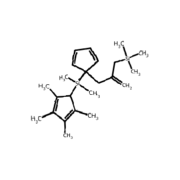 C=C(CC1([Si](C)(C)C2C(C)=C(C)C(C)=C2C)C=CC=C1)C[Si](C)(C)C